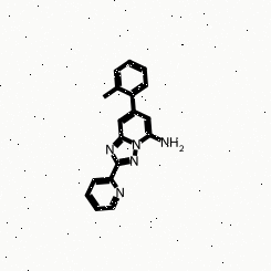 Cc1ccccc1-c1cc(N)n2nc(-c3ccccn3)nc2c1